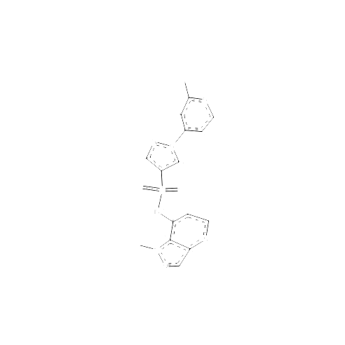 Cn1ncc2nccc(NS(=O)(=O)c3cnn(-c4ccnc(C(F)(F)F)c4)c3)c21